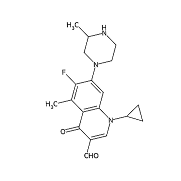 Cc1c(F)c(N2CCNC(C)C2)cc2c1c(=O)c(C=O)cn2C1CC1